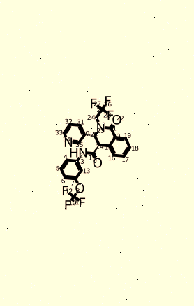 O=C(Nc1cccc(OC(F)(F)F)c1)[C@@H]1c2ccccc2C(=O)N(CC(F)(F)F)[C@H]1c1cccnc1